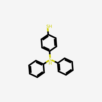 Sc1ccc([SH](c2ccccc2)c2ccccc2)cc1